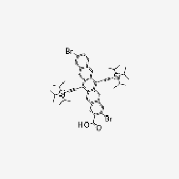 CC(C)[Si](C#Cc1c2cc3ccc(Br)cc3cc2c(C#C[Si](C(C)C)(C(C)C)C(C)C)c2cc3cc(C(=O)O)c(Br)cc3cc12)(C(C)C)C(C)C